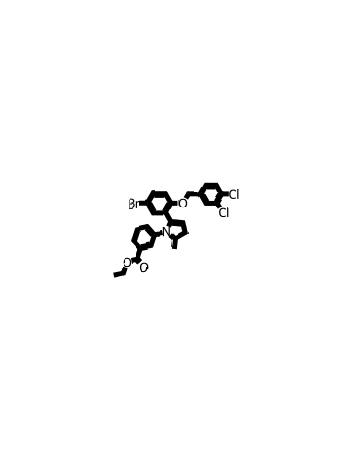 CCOC(=O)c1cccc(N2C(c3cc(Br)ccc3OCc3ccc(Cl)c(Cl)c3)=CCC2C)c1